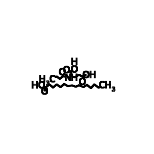 CCCC(=O)NC(CCC(=O)O)C(=O)O.CCCCCCCCCCCCCCCC(=O)O